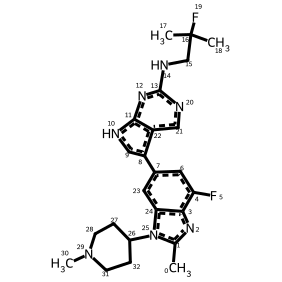 Cc1nc2c(F)cc(-c3c[nH]c4nc(NCC(C)(C)F)ncc34)cc2n1C1CCN(C)CC1